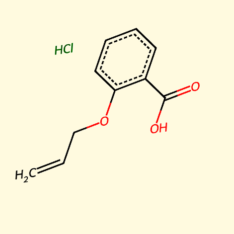 C=CCOc1ccccc1C(=O)O.Cl